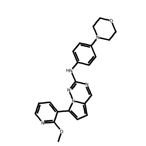 COc1ncccc1-c1ccc2cnc(Nc3ccc(N4CCOCC4)cc3)nn12